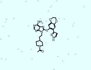 CC(=O)N1CCC(CCn2c(Sc3cc4c(cc3-c3cc[nH]n3)OCCO4)nc3c(N)ncnc32)CC1